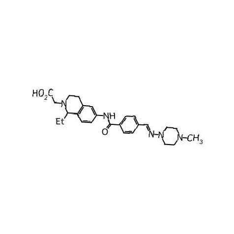 CCC1c2ccc(NC(=O)c3ccc(C=NN4CCN(C)CC4)cc3)cc2CCN1CC(=O)O